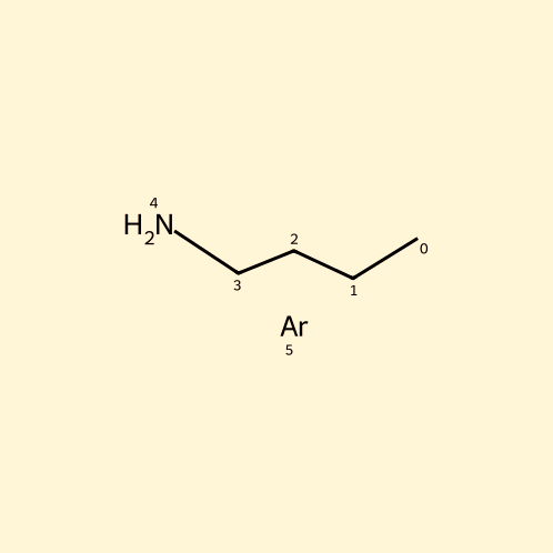 CCCCN.[Ar]